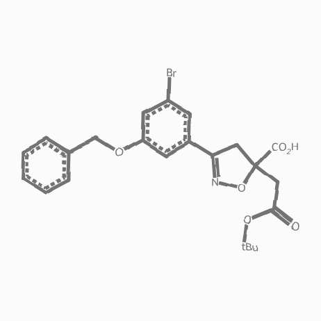 CC(C)(C)OC(=O)CC1(C(=O)O)CC(c2cc(Br)cc(OCc3ccccc3)c2)=NO1